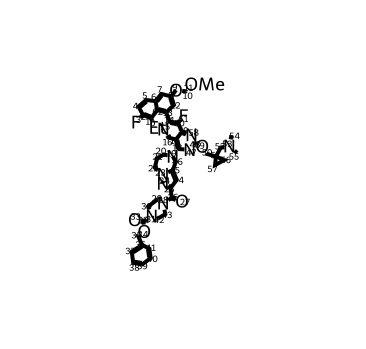 CCc1c(F)ccc2cc(OCOC)cc(-c3ncc4c(N5CCCn6nc(C(=O)N7CCN(C(=O)OCc8ccccc8)CC7)cc6C5)nc(OCC5(CN(C)C)CC5)nc4c3F)c12